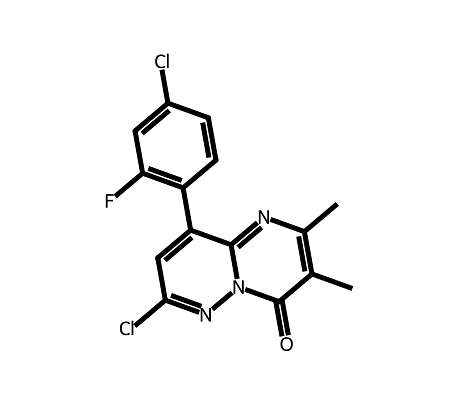 Cc1nc2c(-c3ccc(Cl)cc3F)cc(Cl)nn2c(=O)c1C